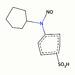 O=NN(c1ccc(S(=O)(=O)O)cc1)C1CCCCC1